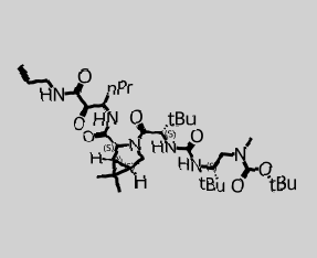 C=CCNC(=O)C(=O)C(CCC)NC(=O)[C@@H]1[C@@H]2[C@H](CN1C(=O)[C@@H](NC(=O)N[C@H](CN(C)C(=O)OC(C)(C)C)C(C)(C)C)C(C)(C)C)C2(C)C